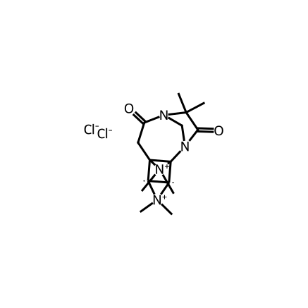 CC1(C)C(=O)N2CN1C(=O)CC13[C]4[C](C21[N+]3(C)C)[N+]4(C)C.[Cl-].[Cl-]